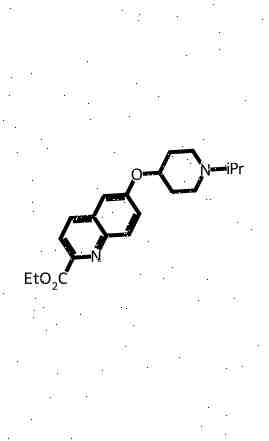 CCOC(=O)c1ccc2cc(OC3CCN(C(C)C)CC3)ccc2n1